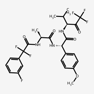 COc1ccc([C@H](NC(=O)[C@H](C)NC(=O)C(F)(F)c2cccc(F)c2)C(=O)N[C@H](C(=O)C(F)(F)F)C(C)C)cc1